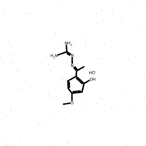 COc1ccc(C(C)=NN=C(N)N)c(O)c1.Cl